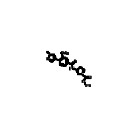 COc1cc(C(=O)N[C@@H]2CCN(C(=O)OC(C)(C)C)C2)ccc1-c1cnn(C)c1